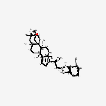 COC[C@]12CC[C@@](C)(O)C[C@H]1CC[C@H]1[C@@H]3CC[C@H](C(=O)Cn4nc5cccc(F)c5n4)[C@@]3(C)CC[C@@H]12